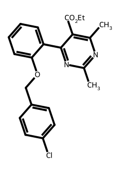 CCOC(=O)c1c(C)nc(C)nc1-c1ccccc1OCc1ccc(Cl)cc1